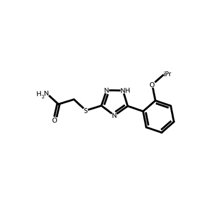 CC(C)Oc1ccccc1-c1nc(SCC(N)=O)n[nH]1